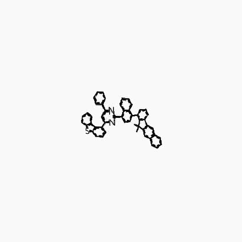 CC1(C)c2cc3ccccc3cc2-c2cccc(-c3ccc(-c4nc(-c5ccccc5)cc(-c5cccc6sc7ccccc7c56)n4)c4ccccc34)c21